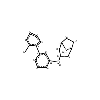 Cc1ccccc1-c1cccc(OC2CC3CCC(C2)N3)c1